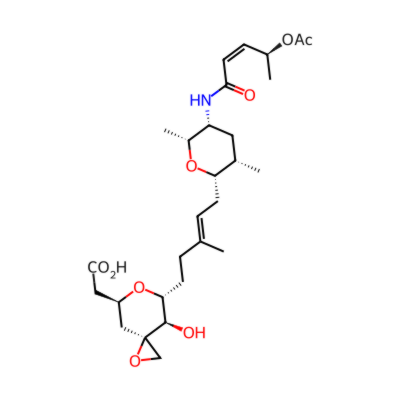 CC(=O)O[C@@H](C)/C=C\C(=O)N[C@@H]1C[C@H](C)[C@H](C/C=C(\C)CC[C@H]2O[C@H](CC(=O)O)C[C@@]3(CO3)[C@@H]2O)O[C@@H]1C